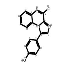 Oc1ccc(-c2cnc3c(Cl)nc4ccccc4n23)cc1